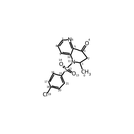 CC1CC(=O)c2ncccc2N1S(=O)(=O)c1ccc(Cl)cc1